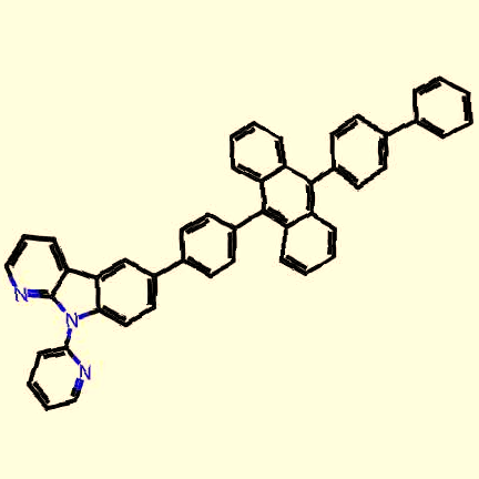 c1ccc(-c2ccc(-c3c4ccccc4c(-c4ccc(-c5ccc6c(c5)c5cccnc5n6-c5ccccn5)cc4)c4ccccc34)cc2)cc1